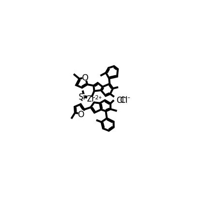 Cc1ccc(C2=Cc3c(cc(C)c(C)c3-c3ccccc3C)[CH]2[Zr+2]([CH]2C(c3ccc(C)o3)=Cc3c2cc(C)c(C)c3-c2ccccc2C)=[Si](C)C)o1.[Cl-].[Cl-]